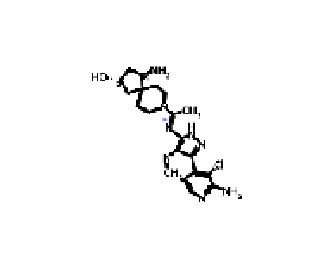 C=Nc1c(-c2ccnc(N)c2Cl)n[nH]c1/N=C(\C)N1CCC2(CC1)C[C@H](O)C[C@H]2N